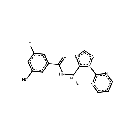 C[C@H](NC(=O)c1cc(F)cc(C#N)c1)c1ncnn1-c1ncccn1